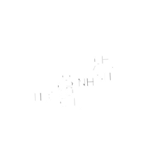 C=C(S)CNC(=O)OC(C)(C)C